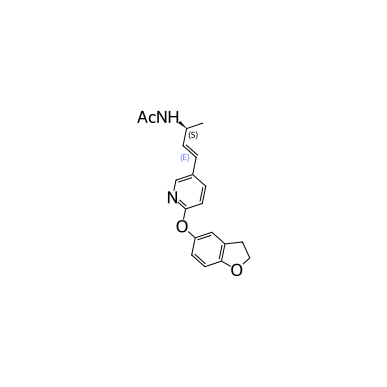 CC(=O)N[C@@H](C)/C=C/c1ccc(Oc2ccc3c(c2)CCO3)nc1